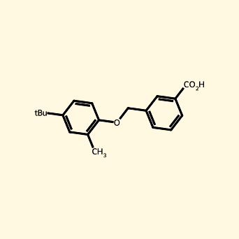 Cc1cc(C(C)(C)C)ccc1OCc1cccc(C(=O)O)c1